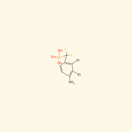 CCc1c([N+](=O)[O-])ccc(C(F)(F)P(=O)(O)O)c1CC